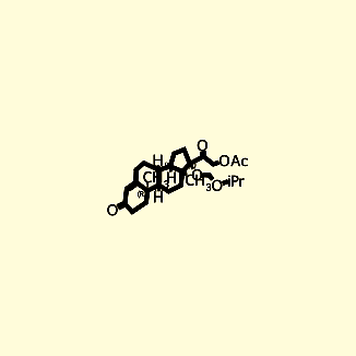 CC(=O)OCC(=O)[C@@]1(OCOC(C)C)CC[C@H]2[C@@H]3CCC4=CC(=O)CC[C@]4(C)[C@H]3CC[C@@]21C